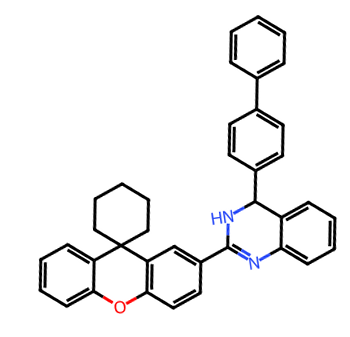 c1ccc(-c2ccc(C3NC(c4ccc5c(c4)C4(CCCCC4)c4ccccc4O5)=Nc4ccccc43)cc2)cc1